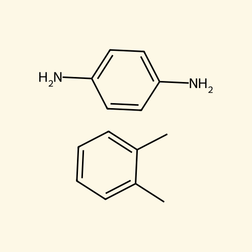 Cc1ccccc1C.Nc1ccc(N)cc1